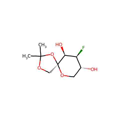 CC1(C)OC[C@]2(OC[C@@H](O)[C@H](F)[C@@H]2O)O1